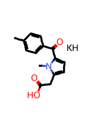 Cc1ccc(C(=O)c2ccc(CC(=O)O)n2C)cc1.[KH]